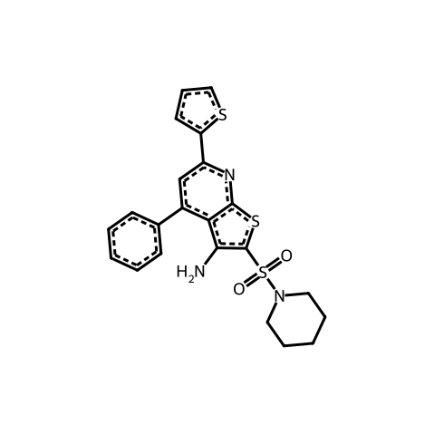 Nc1c(S(=O)(=O)N2CCCCC2)sc2nc(-c3cccs3)cc(-c3ccccc3)c12